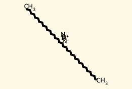 CCCCCCCCCCCCCCCCCCC(CCCCCCCCCCCCCCCCCC)N=[N+]=[N-]